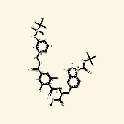 COC(=O)C(=Cc1ccc2c(c1)nnn2C(=O)OC(C)(C)C)NC(=O)c1c(C)cc(C(=O)NCc2cccc(O[Si](C)(C)C(C)(C)C)c2)cc1C